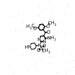 COc1ccc(OC)c(C(=O)c2cnc(N(C3CCNCC3)S(C)(=O)=O)nc2N)c1